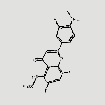 CCCCCCNc1c(F)cc(F)c2oc(-c3ccc(N(C)C)c(F)c3)cc(=O)c12